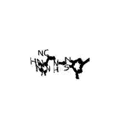 Cc1cc(C)c2sc(NC=C(C#N)c3nnn[nH]3)nc2c1